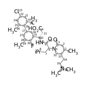 Cc1cc(=O)n(C(CC(C)C)C(=O)N[C@@H](CC(=O)O)c2cc(-c3c(C)cc(Cl)cc3C)cc(C)c2F)cc1CCN(C)C